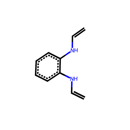 C=CNc1ccccc1NC=C